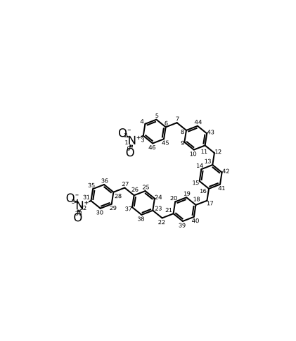 O=[N+]([O-])c1ccc(Cc2ccc(Cc3ccc(Cc4ccc(Cc5ccc(Cc6ccc([N+](=O)[O-])cc6)cc5)cc4)cc3)cc2)cc1